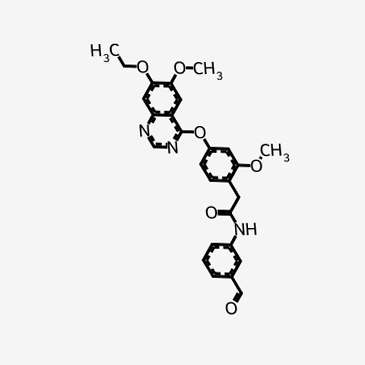 CCOc1cc2ncnc(Oc3ccc(CC(=O)Nc4cccc(C=O)c4)c(OC)c3)c2cc1OC